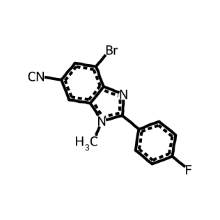 [C-]#[N+]c1cc(Br)c2nc(-c3ccc(F)cc3)n(C)c2c1